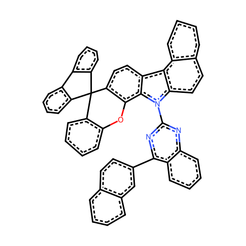 c1ccc2c(c1)Oc1c(ccc3c4c5ccccc5ccc4n(-c4nc(-c5ccc6ccccc6c5)c5ccccc5n4)c13)C21c2ccccc2-c2ccccc21